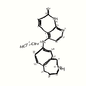 Cl.Cl.O=c1ccc2c(Nc3ccc4c(c3)CNCCC4)ccnc2[nH]1